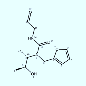 C[C@H](O)[C@H](C)N(Cc1ccco1)C(=O)NCC=O